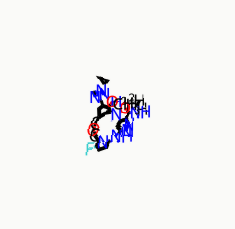 [2H]C([2H])([2H])NC(=O)c1nnc2cc1Nc1cc(cc(-c3ncn(C4CC4)n3)c1OC)COCc1nc(ccc1F)N2